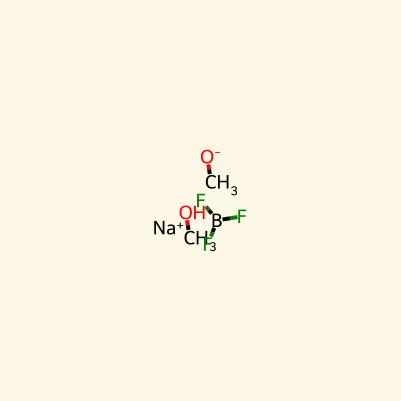 CO.C[O-].FB(F)F.[Na+]